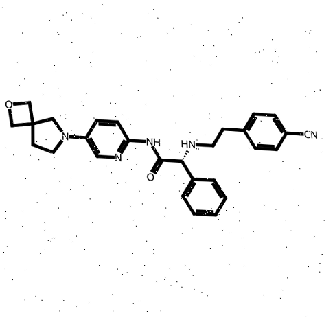 N#Cc1ccc(CCN[C@@H](C(=O)Nc2ccc(N3CCC4(COC4)C3)cn2)c2ccccc2)cc1